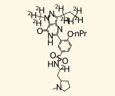 [2H]C(CC1CCCN1C)NS(=O)(=O)c1ccc(OCCC)c(-c2nc3c(C([2H])([2H])CC([2H])([2H])[2H])nn(C([2H])([2H])[2H])c3c(=O)[nH]2)c1